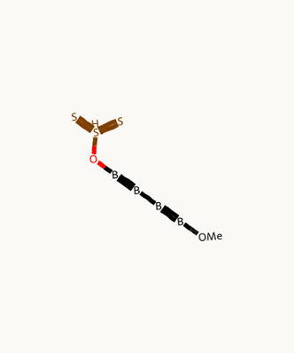 COB=BB=BO[SH](=S)=S